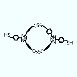 SCc1ccc(-c2nc3nc(n2)-c2ccc(cc2)CSSCc2ccc(cc2)-c2nc(-c4ccc(CS)cc4)nc(n2)-c2ccc(cc2)CSSCc2ccc-3cc2)cc1